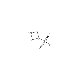 CS(=O)(=O)C1C[N]C1